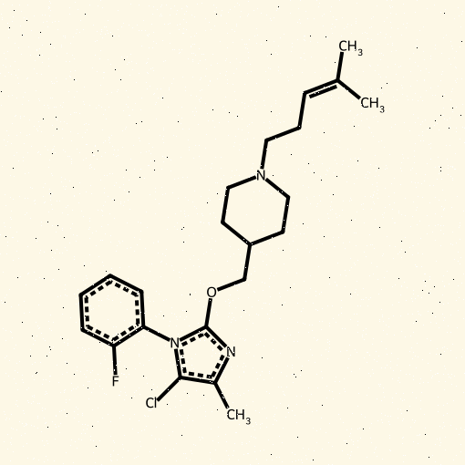 CC(C)=CCCN1CCC(COc2nc(C)c(Cl)n2-c2ccccc2F)CC1